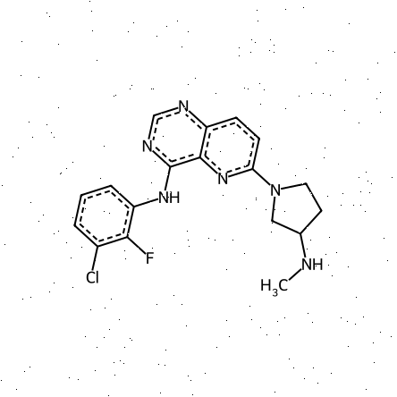 CNC1CCN(c2ccc3ncnc(Nc4cccc(Cl)c4F)c3n2)C1